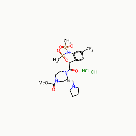 COC(=O)N1CCN(C(=O)Cc2ccc(C(F)(F)F)cc2N(S(C)(=O)=O)S(C)(=O)=O)[C@H](CN2CCCC2)C1.Cl.Cl